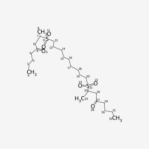 CCCCC(=O)CC(C)S(=O)(=O)CCCCCCCCCS(=O)(=O)C(C)CC(=O)CCCC